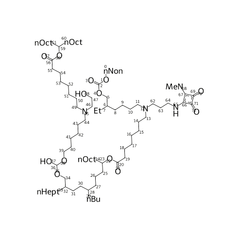 CCCCCCCCCOC(=O)OCC(CC)CCCCN(CCCCCCCC(=O)OC(CCCCCCCC)CCCC(CCCC)CCC(CCCCCCC)COC(O)OCCCCCCN(CCO)CCCCCCCC(=O)OC(CCCCCCCC)CCCCCCCC)CCCNc1c(NC)c(=O)c1=O